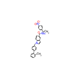 Cc1ccccc1-c1ccc(Cn2ccc3cc(C(=O)N[C@@H](C)c4ccc([N+](=O)[O-])cc4)ccc32)cc1